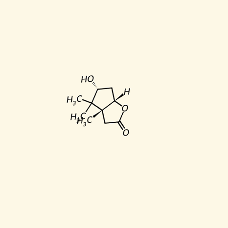 CC1(C)[C@H](O)C[C@@H]2OC(=O)C[C@@]21C